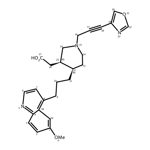 COc1ccc2nccc(CCC[C@@H]3CCN(CC#Cc4cocn4)C[C@@H]3CC(=O)O)c2c1